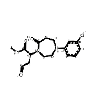 COC(=O)[C@H](CC=O)N1CCN(c2cccc(Cl)c2)CCC1=O